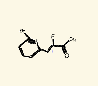 O=C(O)/C(F)=C/c1cccc(Br)n1